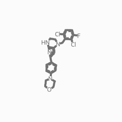 Fc1ccc(Cl)c(CN2CCNc3c2c2c(-c4ccc(N5CCOCC5)cc4)n3-2)c1Cl